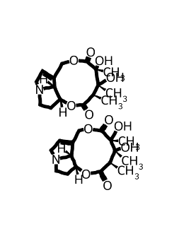 C[C@H]1C(=O)O[C@@H]2CCN3CC=C(COC(=O)[C@](C)(O)[C@]1(C)O)[C@H]23.C[C@H]1C(=O)O[C@@H]2CCN3CC=C(COC(=O)[C@](C)(O)[C@]1(C)O)[C@H]23